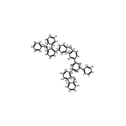 c1ccc(-c2nc(-c3ccc4sc5ccc(-c6cccc7c6c6ccccc6n7-c6ccccc6)cc5c4c3)nc(-c3cccc4c3sc3ccccc34)n2)cc1